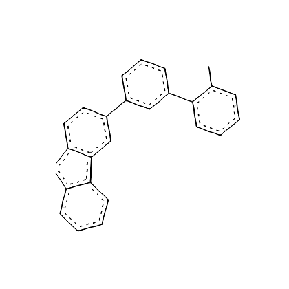 Brc1ccccc1-c1cccc(-c2ccc3oc4ccccc4c3c2)c1